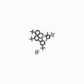 CC1=[C](/[Zr+2](=[CH]/c2ccc(C(C)(C)C)cc2)[CH]2c3ccc(C(C)(C)C)cc3-c3cc(C(C)(C)C)ccc32)C(C)C=C1[Si](C)(C)C.[Cl-].[Cl-]